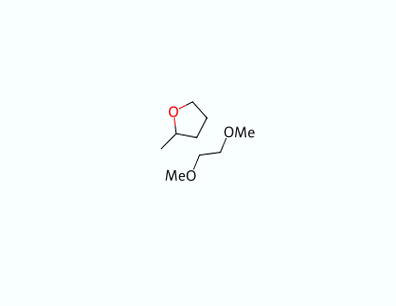 CC1CCCO1.COCCOC